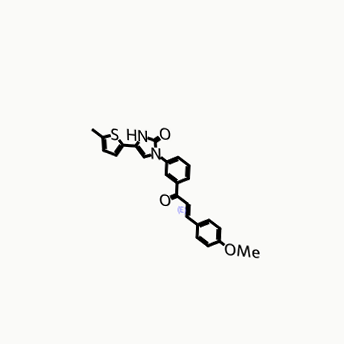 COc1ccc(/C=C/C(=O)c2cccc(-n3cc(-c4ccc(C)s4)[nH]c3=O)c2)cc1